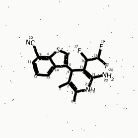 CC1=C(C)C(c2csc3c(C#N)cccc23)C(C(F)C(F)F)=C(N)N1